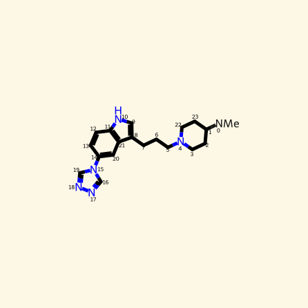 CNC1CCN(CCCc2c[nH]c3ccc(-n4cnnc4)cc23)CC1